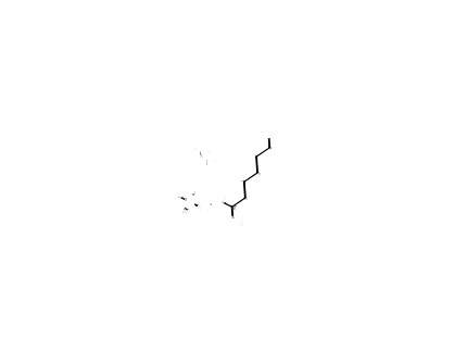 CCCCCCCCCCCCCCCC(OCC(C)C)OOP(=O)([O-])[O-].[Na+].[Na+]